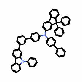 c1ccc(-c2ccc(N(c3ccc(-c4cccc(-c5ccc6c7ccccc7n(-c7ccccc7)c6c5)c4)cc3)c3ccc4c(c3)C(c3ccccc3)(c3ccccc3)c3ccccc3-4)cc2)cc1